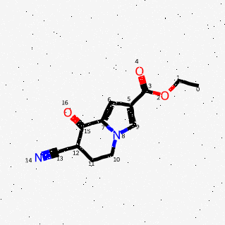 CCOC(=O)c1cc2n(c1)CCC(C#N)C2=O